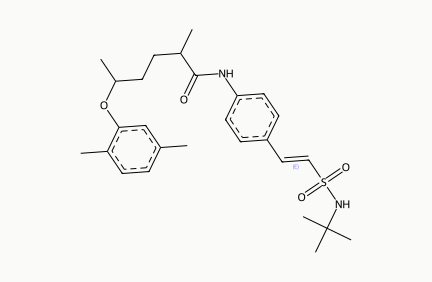 Cc1ccc(C)c(OC(C)CCC(C)C(=O)Nc2ccc(/C=C/S(=O)(=O)NC(C)(C)C)cc2)c1